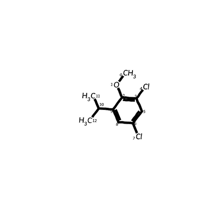 COc1c(Cl)cc(Cl)cc1C(C)C